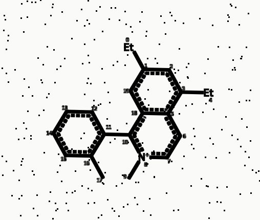 CCc1cc(CC)c2cc[n+](C)c(-c3ccccc3C)c2c1